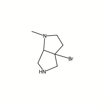 CN1CCC2(Br)CNCC12